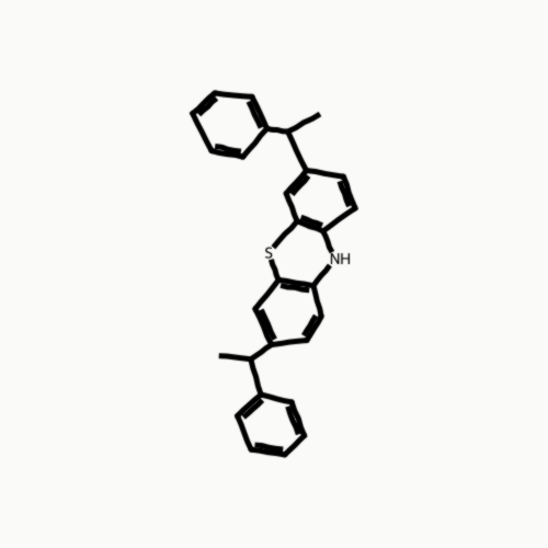 CC(c1ccccc1)c1ccc2c(c1)Sc1cc(C(C)c3ccccc3)ccc1N2